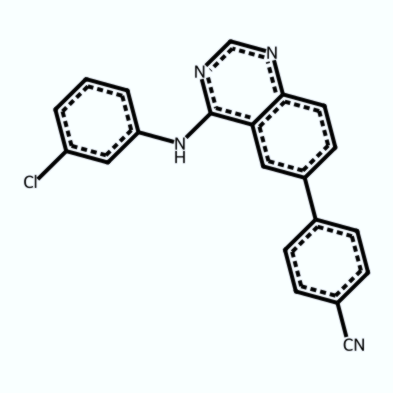 N#Cc1ccc(-c2ccc3ncnc(Nc4cccc(Cl)c4)c3c2)cc1